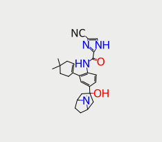 CN1C2CCC1CC(O)(c1ccc(NC(=O)c3nc(C#N)c[nH]3)c(C3=CCC(C)(C)CC3)c1)C2